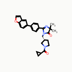 CC1(C)N=C(c2ccc(-c3ccc4occc4c3)cc2)N(C[C@@H]2CCN(C(=O)C3CC3)C2)C1=O